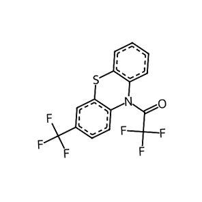 O=C(N1c2ccccc2Sc2cc(C(F)(F)F)ccc21)C(F)(F)F